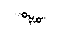 Cc1ccc(/C=C2\SC(=O)N(Cc3ccc(C)cc3)C2=O)cc1